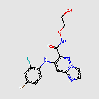 O=C(NOCCO)c1nn2ccnc2cc1Nc1ccc(Br)cc1F